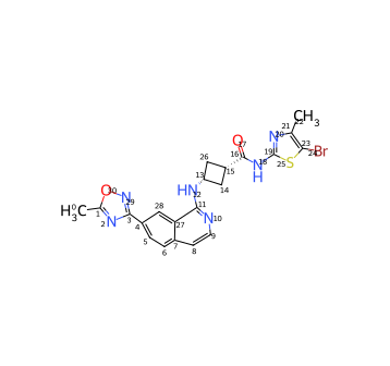 Cc1nc(-c2ccc3ccnc(N[C@H]4C[C@@H](C(=O)Nc5nc(C)c(Br)s5)C4)c3c2)no1